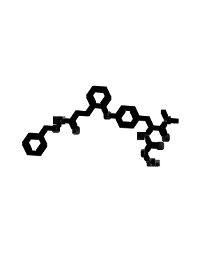 CN(C)C(=O)C(Cc1ccc(Oc2ccccc2CCC(=O)NOCc2ccccc2)cc1)NC(=O)OC(C)(C)C